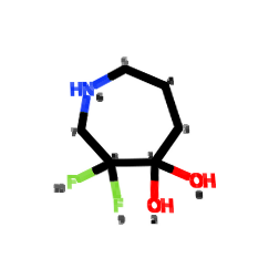 OC1(O)CCCNCC1(F)F